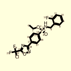 CCOP(=O)(NCc1ccccc1F)c1ccc(-c2noc(C(F)(F)Cl)n2)cc1